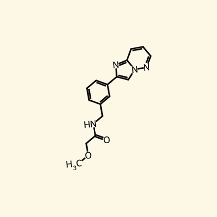 COCC(=O)NCc1cccc(-c2cn3ncccc3n2)c1